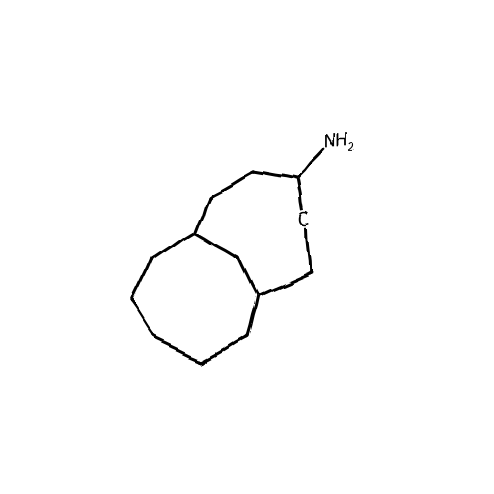 NC1CCC2CCCCCC(CC1)C2